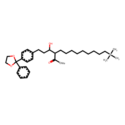 COC(=O)C(CCCCCCCCC[Si](C)(C)C)C(O)CCc1ccc(C2(c3ccccc3)OCCO2)cc1